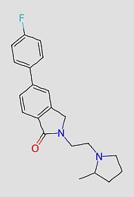 CC1CCCN1CCN1Cc2cc(-c3ccc(F)cc3)ccc2C1=O